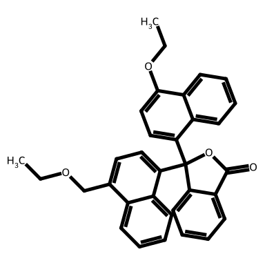 CCOCc1ccc(C2(c3ccc(OCC)c4ccccc34)OC(=O)c3ccccc32)c2ccccc12